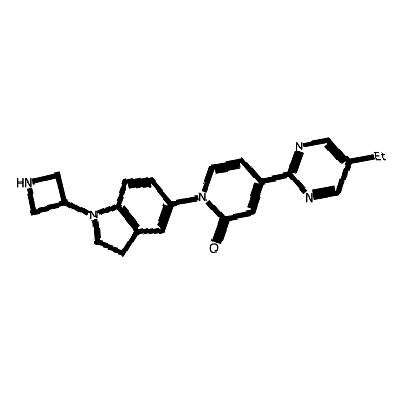 CCc1cnc(-c2ccn(-c3ccc4c(c3)CCN4C3CNC3)c(=O)c2)nc1